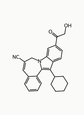 N#CC1=Cc2ccccc2-c2c(C3CCCCC3)c3ccc(C(=O)CO)cc3n2C1